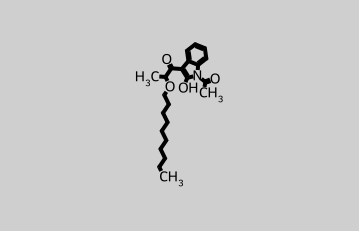 CCCCCCCCCCOC(C)C(=O)c1c(O)n(C(C)=O)c2ccccc12